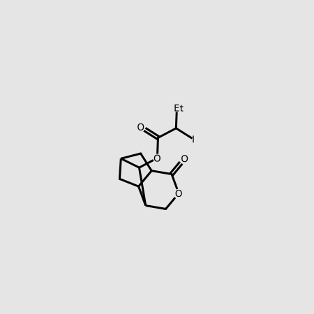 CCC(I)C(=O)OC1C2CC3C(=O)OCC1C3C2